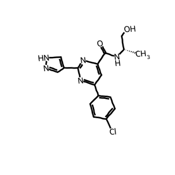 C[C@@H](CO)NC(=O)c1cc(-c2ccc(Cl)cc2)nc(-c2cn[nH]c2)n1